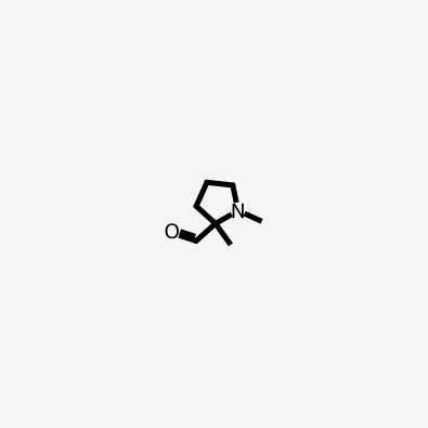 CN1CCCC1(C)C=O